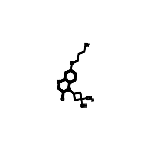 CC(C)CCCOc1ccc2c(c1)ncc(=O)n2C1CC(C)(O)C1